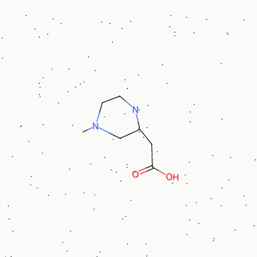 CN1CC[N]C(CC(=O)O)C1